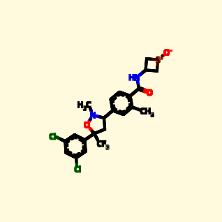 Cc1cc(C2CC(c3cc(Cl)cc(Cl)c3)(C(F)(F)F)ON2C)ccc1C(=O)NC1C[S+]([O-])C1